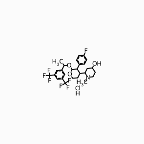 CC(OC1OCCC(C2CC(O)CCN2C)C1c1ccc(F)cc1)c1cc(C(F)(F)F)cc(C(F)(F)F)c1.Cl